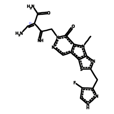 Cn1c2nc(Cc3n[nH]cc3F)sc2c2cnn(CC(=N)/C(=C\N)C(N)=O)c(=O)c21